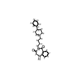 O=C1CNc2ccccc2C(=O)N1CCCCN1CCC(c2ccccc2)CC1